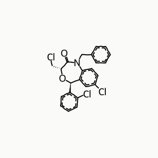 O=C1[C@@H](CCl)O[C@H](c2ccccc2Cl)c2cc(Cl)ccc2N1Cc1ccccc1